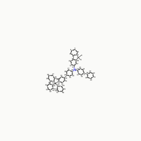 CC1(C)c2ccccc2-c2ccc(N(c3ccc(-c4ccccc4)cc3)c3ccc(-c4ccc5c(c4)-c4ccccc4C54c5ccccc5-c5ccccc54)cc3)cc21